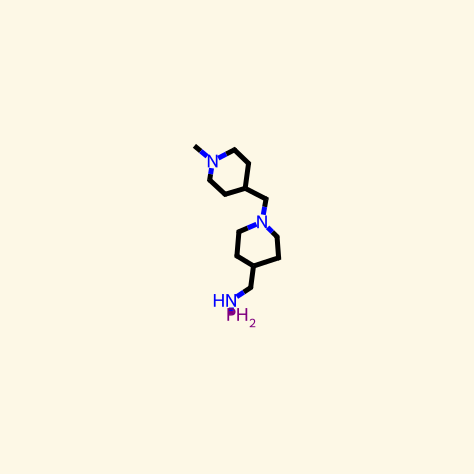 CN1CCC(CN2CCC(CNP)CC2)CC1